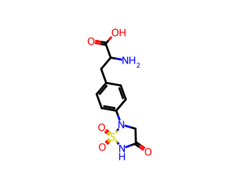 NC(Cc1ccc(N2CC(=O)NS2(=O)=O)cc1)C(=O)O